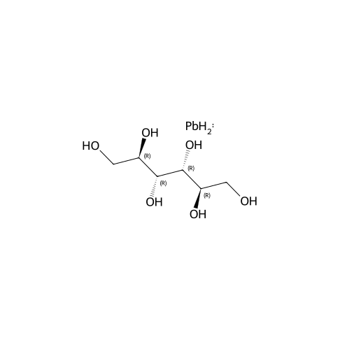 OC[C@@H](O)[C@@H](O)[C@H](O)[C@H](O)CO.[PbH2]